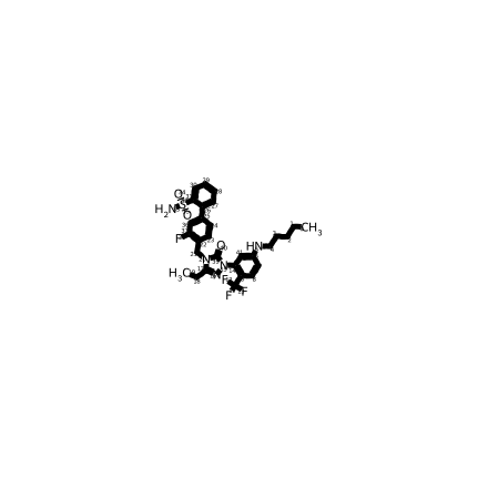 CCCCCNc1ccc(C(F)(F)F)c(-n2nc(CC)n(Cc3ccc(-c4ccccc4S(N)(=O)=O)cc3F)c2=O)c1